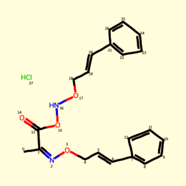 CC(=NOC/C=C/c1ccccc1)C(=O)ONOC/C=C/c1ccccc1.Cl